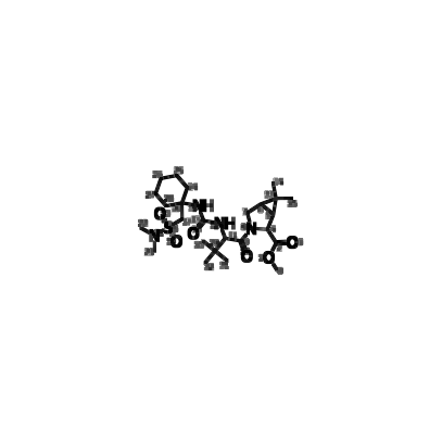 COC(=O)C1C2C(CN1C(=O)C(NC(=O)NC1(CS(=O)(=O)N(C)C)CCCCC1)C(C)(C)C)C2(C)C